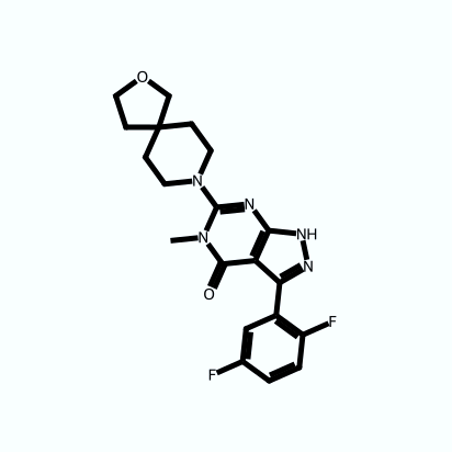 Cn1c(N2CCC3(CCOC3)CC2)nc2[nH]nc(-c3cc(F)ccc3F)c2c1=O